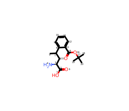 CC(C[C@H](N)C(=O)O)c1ccccc1C(=O)OC(C)(C)C